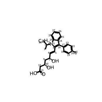 CC(C)n1c(C=C[C@@H](O)C[C@@H](O)CC(=O)O)c(-c2ccc(F)cc2)c2ccccc21.[CaH2]